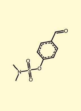 CN(C)S(=O)(=O)Oc1ccc(C=O)cc1